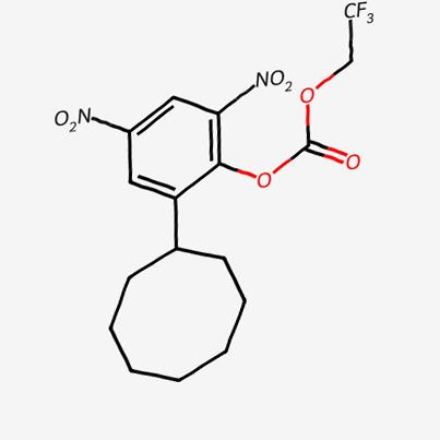 O=C(OCC(F)(F)F)Oc1c(C2CCCCCCC2)cc([N+](=O)[O-])cc1[N+](=O)[O-]